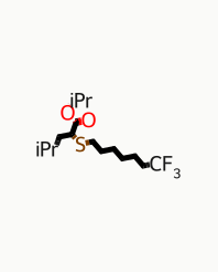 CC(C)CC(SCCCCCCC(F)(F)F)C(=O)OC(C)C